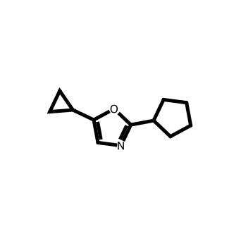 c1nc(C2CCCC2)oc1C1CC1